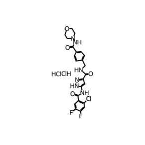 Cl.Cl.O=C(NN1CCOCC1)c1ccc(CNC(=O)c2cc(NC(=O)c3cc(F)c(F)cc3Cl)[nH]n2)cc1